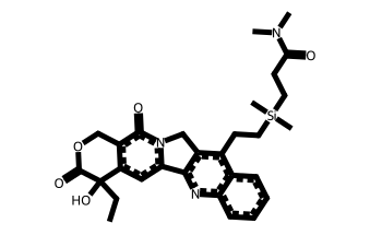 CCC1(O)C(=O)OCc2c1cc1n(c2=O)Cc2c-1nc1ccccc1c2CC[Si](C)(C)CCC(=O)N(C)C